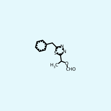 CC(OC=O)c1nnc(Cc2ccccc2)s1